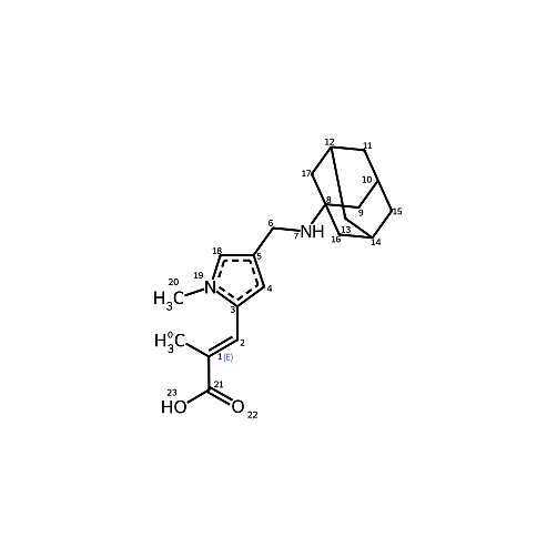 C/C(=C\c1cc(CNC23CC4CC(CC(C4)C2)C3)cn1C)C(=O)O